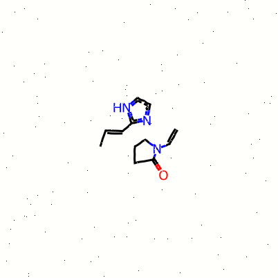 C=CN1CCCC1=O.CC=Cc1ncc[nH]1